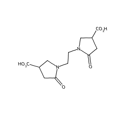 O=C(O)C1CC(=O)N(CCN2CC(C(=O)O)CC2=O)C1